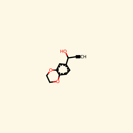 C#CC(O)c1ccc2c(c1)OCCO2